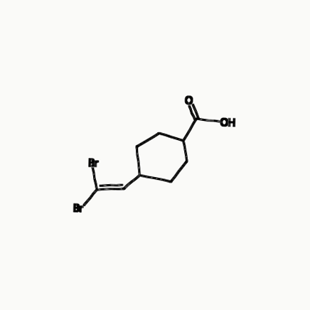 O=C(O)C1CCC(C=C(Br)Br)CC1